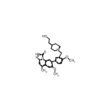 COc1ccc(-c2cc3c(cc2OC)c(C)cc2n[nH]c(=O)n23)cc1CN1CCC(CCO)CC1